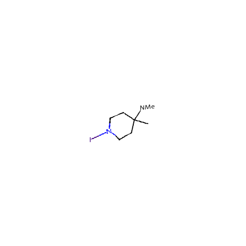 CNC1(C)CCN(I)CC1